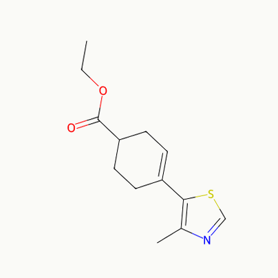 CCOC(=O)C1CC=C(c2scnc2C)CC1